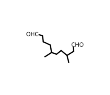 CC(CC=O)CCC(C)CCCC=O